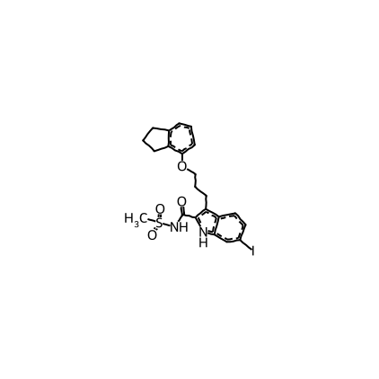 CS(=O)(=O)NC(=O)c1[nH]c2cc(I)ccc2c1CCCOc1cccc2c1CCC2